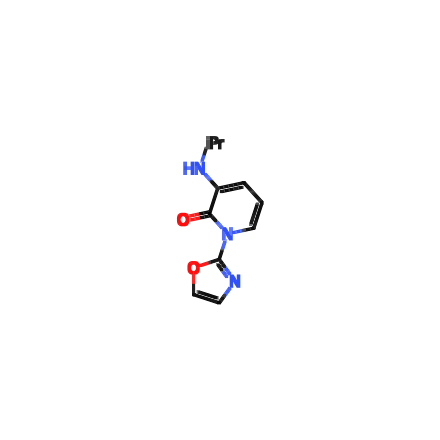 CC(C)Nc1cccn(-c2ncco2)c1=O